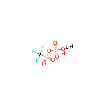 O=S(=O)(O)OS(=O)(=O)C(F)(F)F.[LiH]